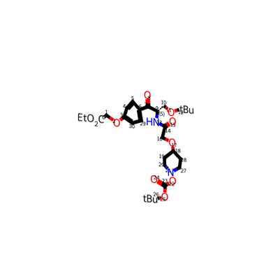 CCOC(=O)COc1ccc(C(=O)[C@H](COC(C)(C)C)NC(=O)COC2CCN(OC(=O)OC(C)(C)C)CC2)cc1